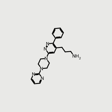 NCCCc1cc(N2CCN(c3ncccn3)CC2)nnc1-c1ccccc1